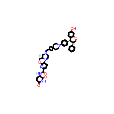 O=C1CCC(NC(=O)c2ccc3c(n2)OC[C@H]2CN(CC4CC5(CCN(c6ccc([C@@H]7c8ccc(O)cc8OC[C@@H]7c7ccccc7)cc6)CC5)C4)CCN32)C(=O)N1